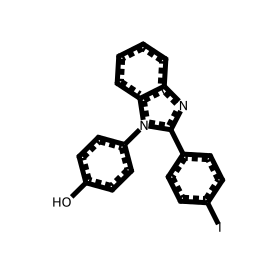 Oc1ccc(-n2c(-c3ccc(I)cc3)nc3ccccc32)cc1